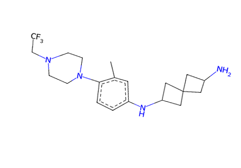 Cc1cc(NC2CC3(CC(N)C3)C2)ccc1N1CCN(CC(F)(F)F)CC1